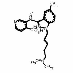 Cc1ccc2c(c1)C(Nc1cnccc1C(=O)O)NN2CCCCCN(C)C